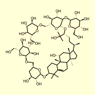 C[C@H](CC[C@@H](O[C@@H]1O[C@H](CO[C@@H]2O[C@H](CO)[C@@H](O)[C@H](O)[C@H]2O)[C@@H](O)[C@H](O)[C@H]1O[C@@H]1O[C@H](CO)[C@@H](O)[C@H](O)[C@H]1O)C(C)(C)O)C1CC[C@@]2(C)C3CC=C4C(CC[C@H](O[C@@H]5O[C@H](CO[C@H]6O[C@H](CO)[C@@H](O)[C@H](O)[C@H]6O)C[C@H](O)[C@H]5O)C4(C)C)[C@]3(C)[C@H](O)C[C@]12C